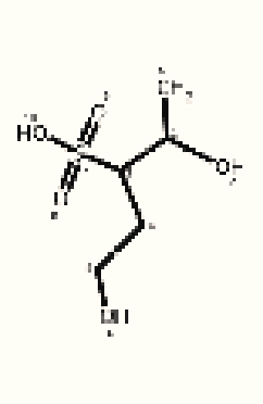 [CH2]C(O)C(CCO)S(=O)(=O)O